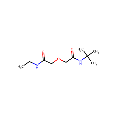 CCNC(=O)COCC(=O)NC(C)(C)C